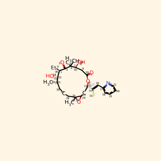 CC[C@H]1C(=O)C(C)(C)[C@@H](O)CC(=O)O[C@H](/C(F)=C/c2ccccn2)CC2O[C@]2(C)CCC[C@H](C)[C@@H]1O